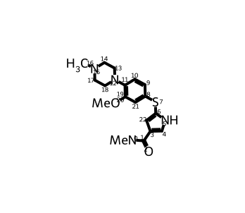 CNC(=O)c1c[nH]c(Sc2ccc(N3CCN(C)CC3)c(OC)c2)c1